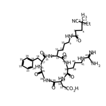 CCC(C)(C#N)CCC(=O)NCCCCC1NC(=O)C(Cc2ccccc2)NC(=O)CNC(=O)C(CC(=O)O)NC(=O)C(CCCNC(=N)N)NC1=O